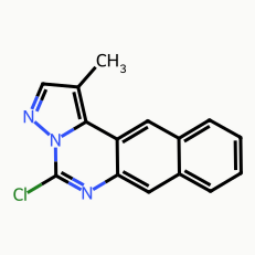 Cc1cnn2c(Cl)nc3cc4ccccc4cc3c12